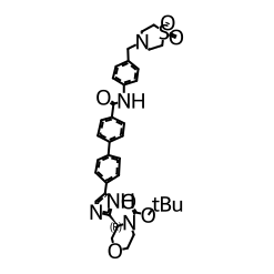 CC(C)(C)OC(=O)N1CCOC[C@H]1c1ncc(-c2ccc(-c3ccc(C(=O)Nc4ccc(CN5CCS(=O)(=O)CC5)cc4)cc3)cc2)[nH]1